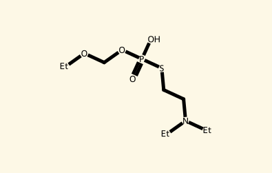 CCOCOP(=O)(O)SCCN(CC)CC